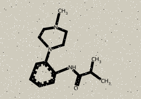 CC(C)C(=O)Nc1ccccc1N1CCN(C)CC1